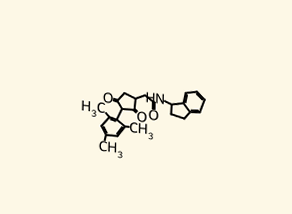 Cc1cc(C)c(C2C(=O)CC(CC(=O)NC3CCc4ccccc43)C2=O)c(C)c1